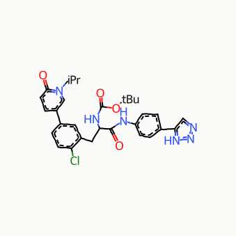 CC(C)n1cc(-c2ccc(Cl)c(CC(NC(=O)OC(C)(C)C)C(=O)Nc3ccc(-c4cnn[nH]4)cc3)c2)ccc1=O